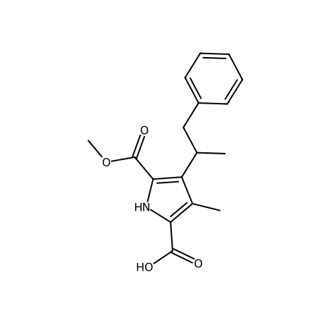 COC(=O)c1[nH]c(C(=O)O)c(C)c1C(C)Cc1ccccc1